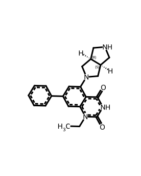 CCn1c(=O)[nH]c(=O)c2c(N3C[C@H]4CNC[C@H]4C3)cc(-c3ccccc3)cc21